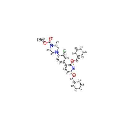 C[C@H]1CN(c2ccc(-c3ccc(OCc4ccccc4)nc3OCc3ccccc3)cc2F)CCN1C(=O)OC(C)(C)C